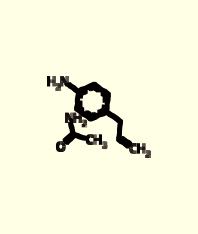 C=CCc1ccc(N)cc1.CC(N)=O